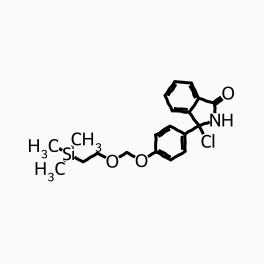 C[Si](C)(C)CCOCOc1ccc(C2(Cl)NC(=O)c3ccccc32)cc1